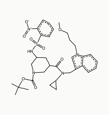 COCCCn1cc(CN(C(=O)C2CC(NS(=O)(=O)c3ccccc3[N+](=O)[O-])CN(C(=O)OC(C)(C)C)C2)C2CC2)c2ccccc21